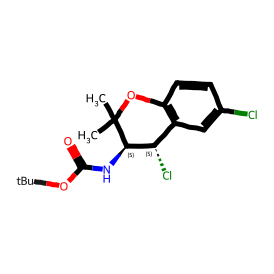 CC(C)(C)OC(=O)N[C@@H]1[C@@H](Cl)c2cc(Cl)ccc2OC1(C)C